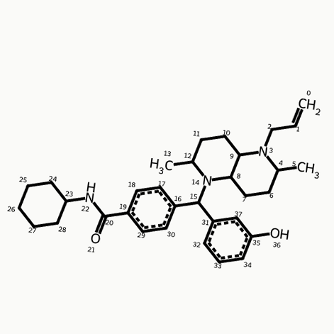 C=CCN1C(C)CCC2C1CCC(C)N2C(c1ccc(C(=O)NC2CCCCC2)cc1)c1cccc(O)c1